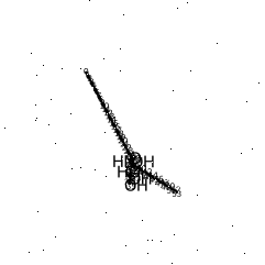 CC#CC#CC#CC#CC#CC#CC#CC#CC#CC#CC#CC#CC(=O)N[C@@H](COC[C@@H](O)CO)[C@H](O)[C@H](O)CCCCCCCCCCCCCC